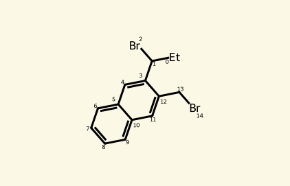 CCC(Br)c1cc2ccccc2cc1CBr